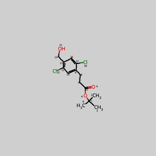 CC(C)(C)OC(=O)CCc1cc(Cl)c(CO)cc1Cl